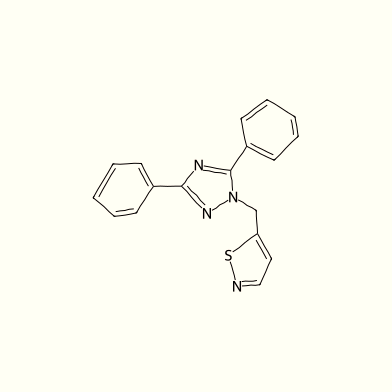 c1ccc(-c2nc(-c3ccccc3)n(Cc3ccns3)n2)cc1